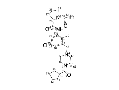 Cc1c(CN2CCN(C(=O)C3CCCC3)[C@@H](C)C2)cc(Cl)cc1NC(=O)[C@@H]1CCCN1C(=O)C(C)C